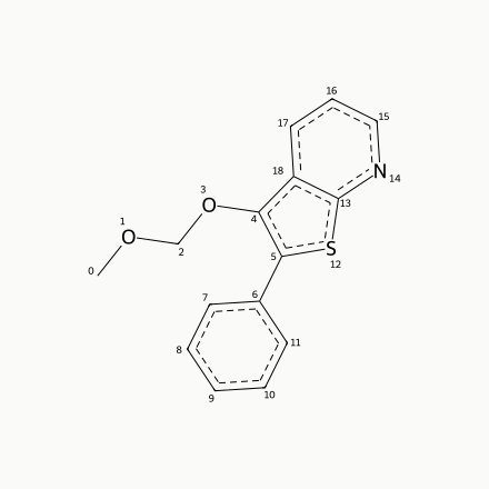 COCOc1c(-c2ccccc2)sc2ncccc12